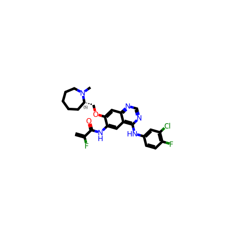 C=C(F)C(=O)Nc1cc2c(Nc3ccc(F)c(Cl)c3)ncnc2cc1OC[C@@H]1CCCCCN1C